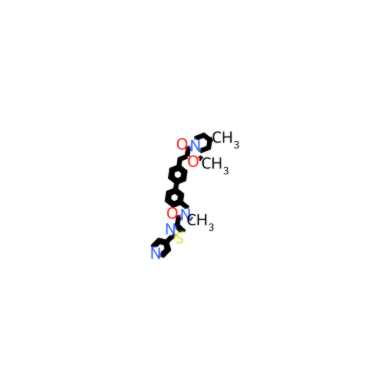 CCOC(Cc1ccc(-c2cccc(CN(C)C(=O)c3csc(-c4ccncc4)n3)c2)cc1)C(=O)N1CCC(C)CC1